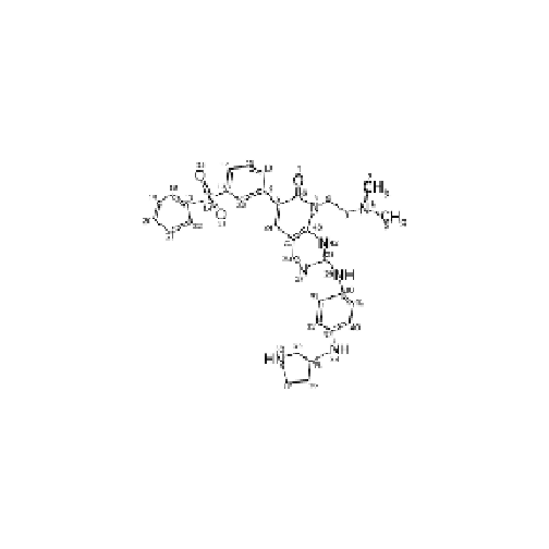 CN(C)CCn1c(=O)c(-c2cccc(S(=O)(=O)c3ccccc3)c2)cc2cnc(Nc3ccc(NC4CCNC4)cc3)nc21